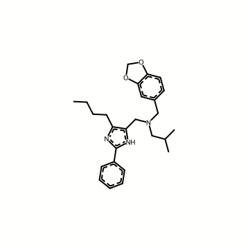 CCCCc1nc(-c2ccccc2)[nH]c1CN(Cc1ccc2c(c1)OCO2)CC(C)C